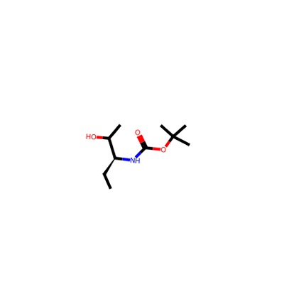 CC[C@H](NC(=O)OC(C)(C)C)C(C)O